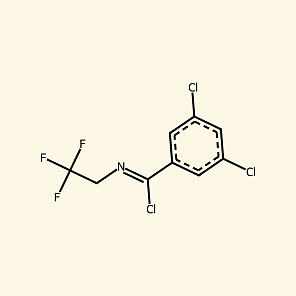 FC(F)(F)C/N=C(\Cl)c1cc(Cl)cc(Cl)c1